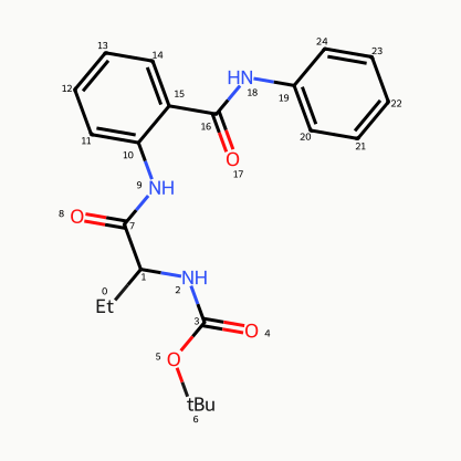 CCC(NC(=O)OC(C)(C)C)C(=O)Nc1ccccc1C(=O)Nc1ccccc1